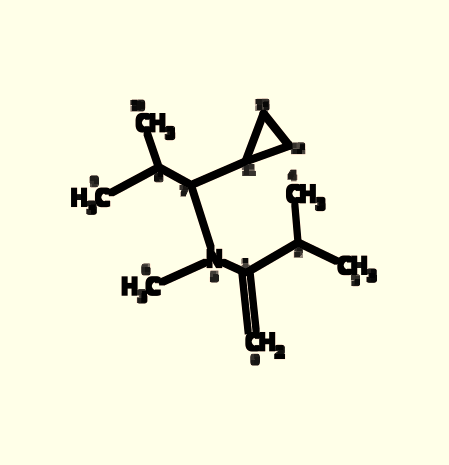 C=C(C(C)C)N(C)C(C(C)C)C1CC1